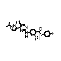 COc1cc(Nc2ncc(Cl)c(-c3ccn(C(C)C)n3)n2)ccc1C(=O)Nc1ccc(F)cc1